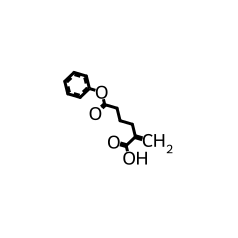 C=C(CCCC(=O)Oc1ccccc1)C(=O)O